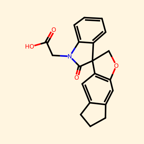 O=C(O)CN1C(=O)C2(COc3cc4c(cc32)CCC4)c2ccccc21